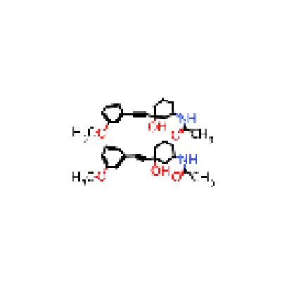 COc1cccc(C#CC2(O)CCCC(NC(C)=O)C2)c1.COc1cccc(C#CC2(O)CCCC(NC(C)=O)C2)c1